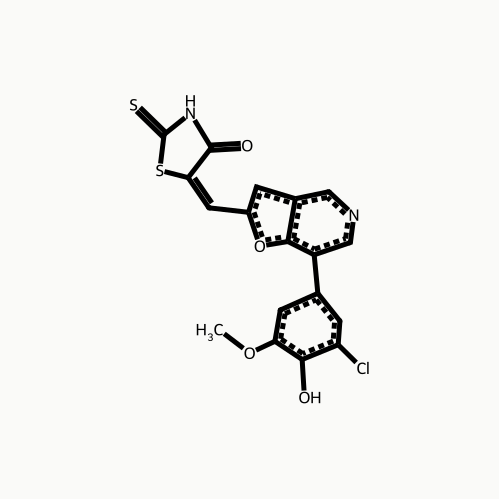 COc1cc(-c2cncc3cc(C=C4SC(=S)NC4=O)oc23)cc(Cl)c1O